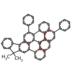 CC1(C)c2ccccc2-c2ccc(-c3ccccc3N(c3ccc(-c4ccccc4)cc3)c3cccc(-c4ccccc4)c3-c3ccccc3-c3ccccc3)cc21